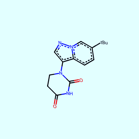 CC(C)(C)c1ccc2c(N3CCC(=O)NC3=O)cnn2c1